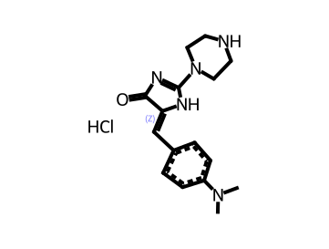 CN(C)c1ccc(/C=C2\NC(N3CCNCC3)=NC2=O)cc1.Cl